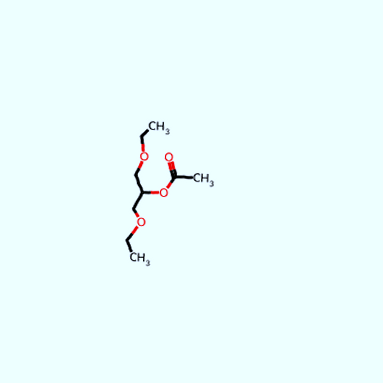 CCOCC(COCC)OC(C)=O